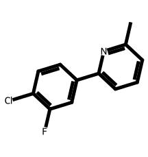 Cc1cccc(-c2ccc(Cl)c(F)c2)n1